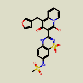 CS(=O)(=O)Nc1ccc2c(c1)S(=O)(=O)N=C(c1c(O)n3ccccc3c(Cc3ccoc3)c1=O)N2